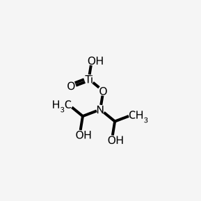 CC(O)N([O][Ti](=[O])[OH])C(C)O